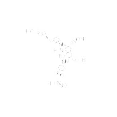 CN(CCS(=O)(=O)c1ccc(N=Nc2c(S(=O)(=O)O)cc3cc(SOOO)c(N=Nc4cccc(SC#COOS(=O)(=O)O)c4)c(N)c3c2O)cc1)N=O